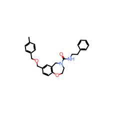 Cc1ccc(COCc2ccc3c(c2)CN(C(=O)NCCc2ccccc2)CCO3)cc1